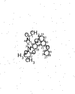 C=CC(=O)N1CC(CN2C(=O)C(CC(C)C)Oc3cc(-c4cc(Oc5ccccc5)cc5ccccc45)c(Cl)cc32)C1